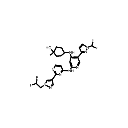 CC1(O)CCC(Nc2cc(Nc3ccnc(-c4cnn(CC(F)F)c4)n3)ncc2-c2ccn(C(F)F)n2)CC1